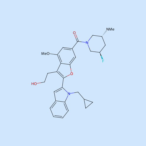 CN[C@@H]1C[C@@H](F)CN(C(=O)c2cc(OC)c3c(CCO)c(-c4cc5ccccc5n4CC4CC4)oc3c2)C1